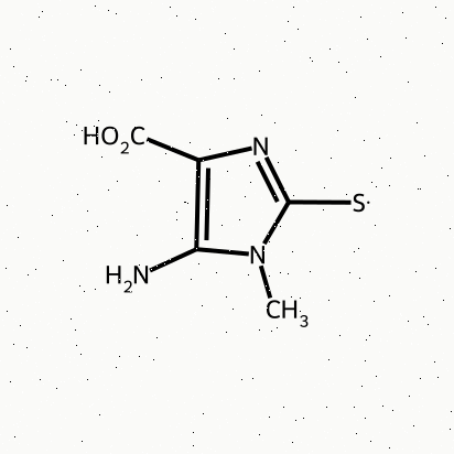 Cn1c([S])nc(C(=O)O)c1N